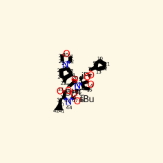 CC(C)C[C@@](C(=O)OOCc1ccccc1)(C(C)C=O)N(C)C(=O)[C@@H](Cc1ccc(N2CCOCC2)cc1)OC(=O)[C@H](CC1CC1)N(C)C(=O)OC(C)(C)C